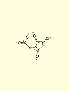 O=C(Cl)CN1C(=O)C=C(Cl)C1=O